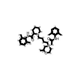 Cc1cccc(C)c1NC(=O)C[N+]1(CCCCN2CCCCC2C(=O)Nc2c(C)cccc2C)CCOC(C)C1